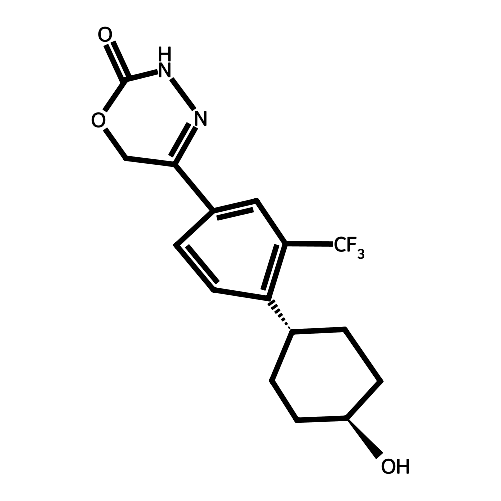 O=C1NN=C(c2ccc([C@H]3CC[C@H](O)CC3)c(C(F)(F)F)c2)CO1